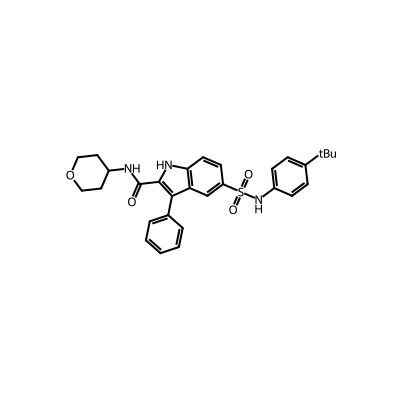 CC(C)(C)c1ccc(NS(=O)(=O)c2ccc3[nH]c(C(=O)NC4CCOCC4)c(-c4ccccc4)c3c2)cc1